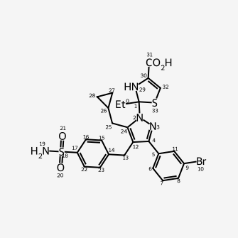 CCC1(n2nc(-c3cccc(Br)c3)c(Cc3ccc(S(N)(=O)=O)cc3)c2CC2CC2)NC(C(=O)O)=CS1